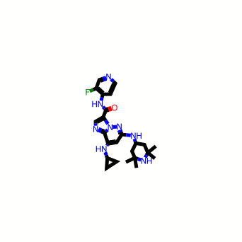 CC1(C)CC(Nc2cc(NC3CC3)c3ncc(C(=O)Nc4ccncc4F)n3n2)CC(C)(C)N1